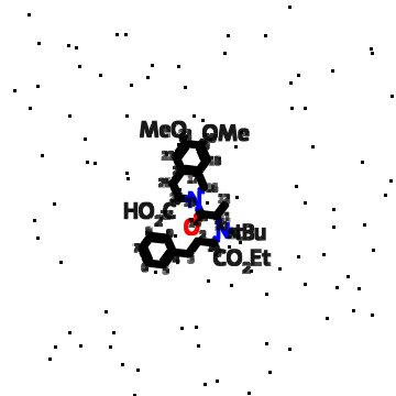 CCOC(=O)C(CCc1ccccc1)N(C(C)C(=O)N1Cc2cc(OC)c(OC)cc2CC1C(=O)O)C(C)(C)C